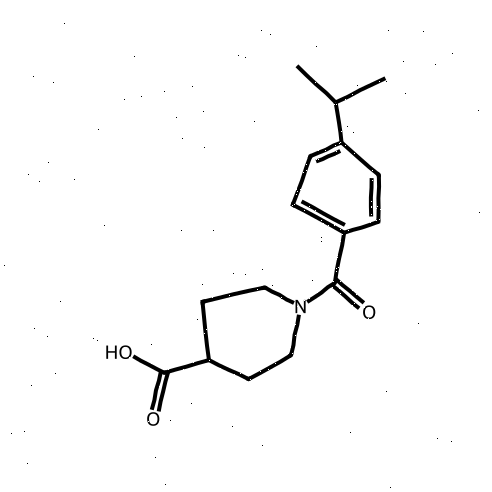 CC(C)c1ccc(C(=O)N2CCC(C(=O)O)CC2)cc1